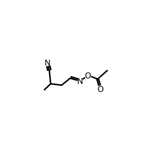 CC(=O)O/N=C/CC(C)C#N